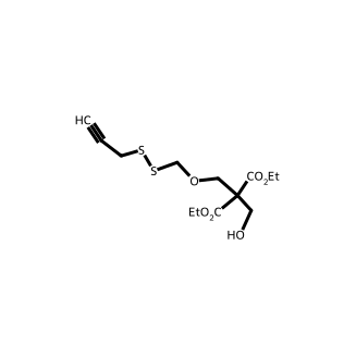 C#CCSSCOCC(CO)(C(=O)OCC)C(=O)OCC